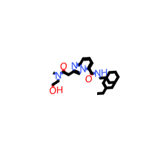 CCC1CC2CCCC(CNC(=O)c3cccc4nc(CC(=O)N(C)CCO)cn34)(C1)C2